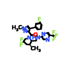 C[C@@H]1CC(F)(F)CN(C(=O)c2nn(C)cc2-c2cccc(F)c2)C1CNc1cnc(C(F)(F)F)cn1